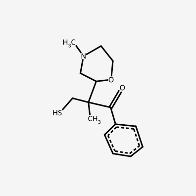 CN1CCOC(C(C)(CS)C(=O)c2ccccc2)C1